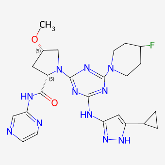 CO[C@H]1C[C@@H](C(=O)Nc2cnccn2)N(c2nc(Nc3cc(C4CC4)[nH]n3)nc(N3CCC(F)CC3)n2)C1